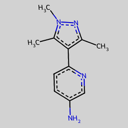 Cc1nn(C)c(C)c1-c1ccc(N)cn1